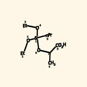 CCC[Si](OCC)(OCC)OC(C)C(=O)O